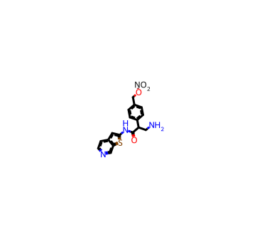 NCC(C(=O)Nc1cc2ccncc2s1)c1ccc(CO[N+](=O)[O-])cc1